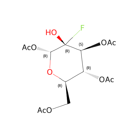 CC(=O)OC[C@H]1O[C@H](OC(C)=O)[C@](O)(F)[C@@H](OC(C)=O)[C@@H]1OC(C)=O